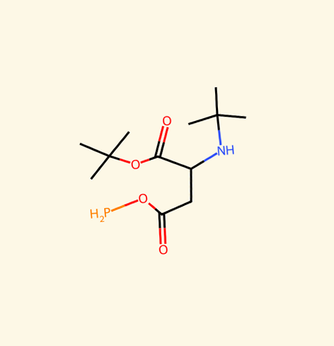 CC(C)(C)NC(CC(=O)OP)C(=O)OC(C)(C)C